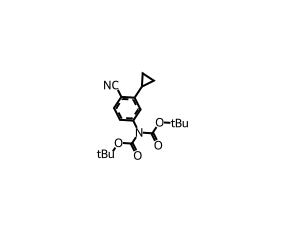 CC(C)(C)OC(=O)N(C(=O)OC(C)(C)C)c1ccc(C#N)c(C2CC2)c1